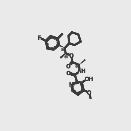 COc1ccnc(C(=O)N[C@@H](C)C(=O)O[C@@H](C)[C@H](c2ccc(F)cc2C)C2CCCCC2)c1O